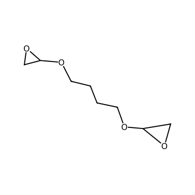 C(CCOC1CO1)COC1CO1